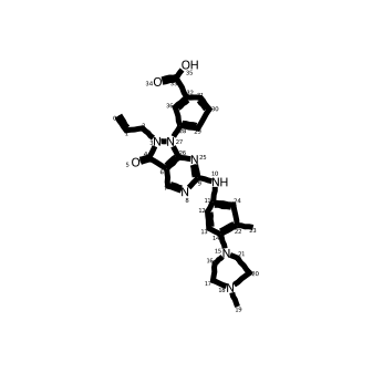 C=CCn1c(=O)c2cnc(Nc3ccc(N4CCN(C)CC4)c(C)c3)nc2n1-c1cccc(C(=O)O)c1